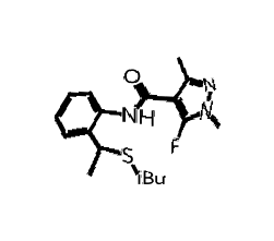 CCC(C)SC(C)c1ccccc1NC(=O)c1c(C)nn(C)c1F